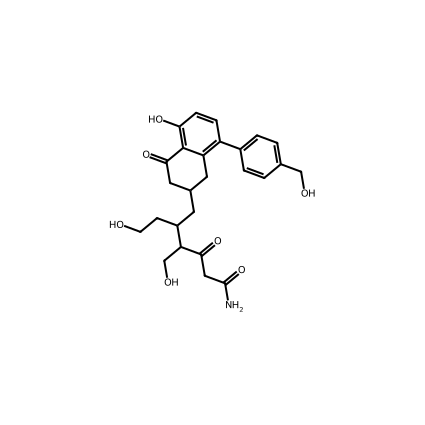 NC(=O)CC(=O)C(CO)C(CCO)CC1CC(=O)c2c(O)ccc(-c3ccc(CO)cc3)c2C1